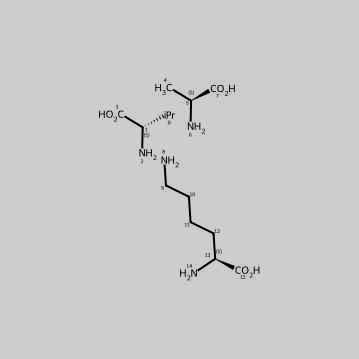 CC(C)[C@H](N)C(=O)O.C[C@H](N)C(=O)O.NCCCC[C@H](N)C(=O)O